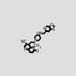 Cn1c(=O)ccc2ncc(C#N)c(CCN3CCC(NCc4cc5c(cn4)OCS5)CC3)c21